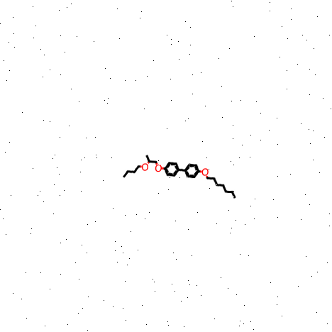 CCCCCCCOc1ccc(-c2ccc(OCC(C)OCCCC)cc2)cc1